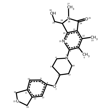 Cc1c(N2CCC(Oc3ccc4c(c3)COC4)CC2)nc2c(c1C)C(=O)N(C)C2CO